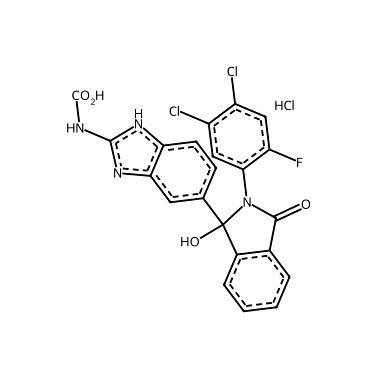 Cl.O=C(O)Nc1nc2cc(C3(O)c4ccccc4C(=O)N3c3cc(Cl)c(Cl)cc3F)ccc2[nH]1